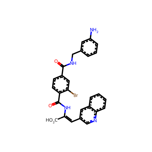 Nc1cccc(CNC(=O)c2ccc(C(=O)NC(=Cc3cnc4ccccc4c3)C(=O)O)c(Br)c2)c1